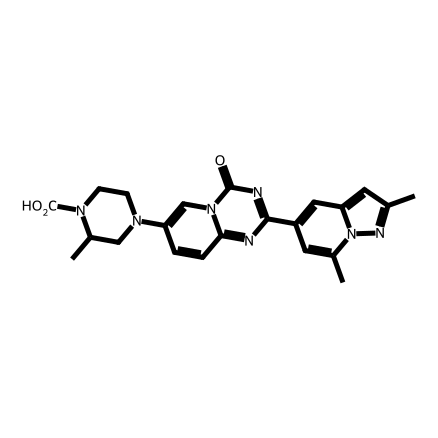 Cc1cc2cc(-c3nc(=O)n4cc(N5CCN(C(=O)O)C(C)C5)ccc4n3)cc(C)n2n1